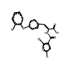 O=C(O)C(=Cc1ccc(Oc2ccccc2Br)cc1)NC(=O)c1cc(Cl)sc1Cl